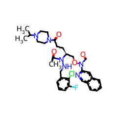 CC(=O)N(NCc1cccc(F)c1Cl)[C@@H](CCC(=O)N1CCN(C(C)C)CC1)CON(C=O)c1cc2ccccc2cn1